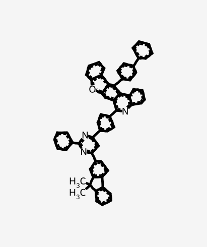 CC1(C)c2ccccc2-c2ccc(-c3cc(-c4ccc(-c5nc6ccccc6c6c(-c7ccc(-c8ccccc8)cc7)c7c(cc56)oc5ccccc57)cc4)nc(-c4ccccc4)n3)cc21